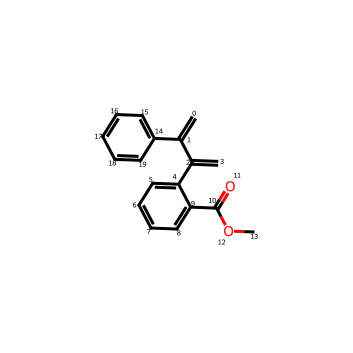 C=C(C(=C)c1ccccc1C(=O)OC)c1ccccc1